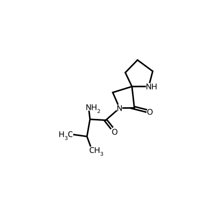 CC(C)C(N)C(=O)N1CC2(CCCN2)C1=O